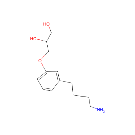 NCCCCc1cccc(OCC(O)CO)c1